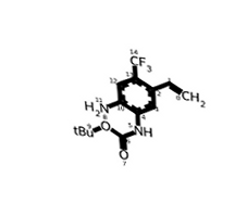 C=Cc1cc(NC(=O)OC(C)(C)C)c(N)cc1C(F)(F)F